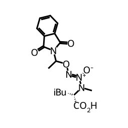 CC[C@@H](C)[C@@H](C(=O)O)N(C)[N+]([O-])=NOC(C)N1C(=O)c2ccccc2C1=O